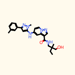 CCC(C)(CO)CNC(=O)c1cnn2ccc(Nc3cc(-c4cccc(C)c4)nn3C)cc12